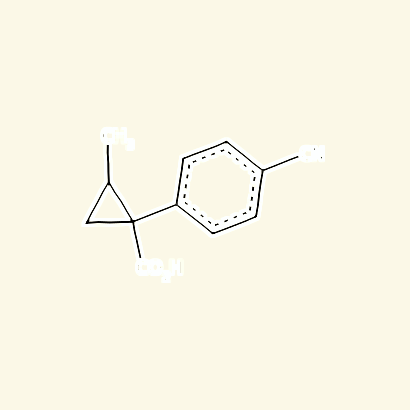 CC1CC1(C(=O)O)c1ccc(C#N)cc1